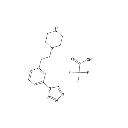 O=C(O)C(F)(F)F.c1cc(CCN2CCNCC2)cc(-n2cnnn2)c1